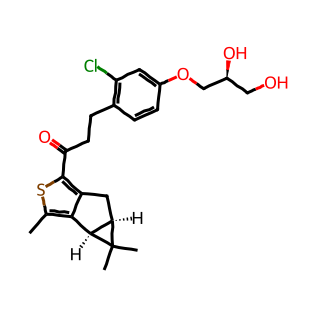 Cc1sc(C(=O)CCc2ccc(OC[C@@H](O)CO)cc2Cl)c2c1[C@H]1[C@@H](C2)C1(C)C